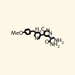 COc1ccc(Cc2cncc(-c3cc(/C(=C/N)C(N)=O)nnc3C)c2)cc1